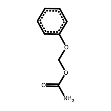 NC(=O)OCOc1ccccc1